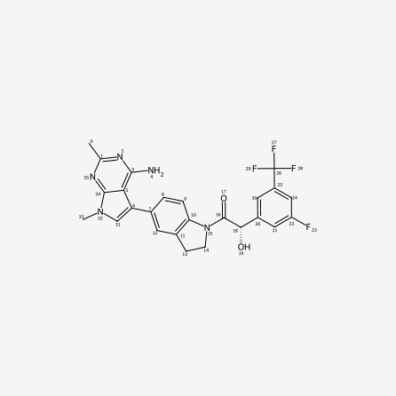 Cc1nc(N)c2c(-c3ccc4c(c3)CCN4C(=O)[C@@H](O)c3cc(F)cc(C(F)(F)F)c3)cn(C)c2n1